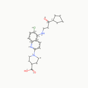 O=C(O)C1CCN(c2ccc3c(NCCC(=O)C4CCCC4)c(Cl)ccc3n2)CC1